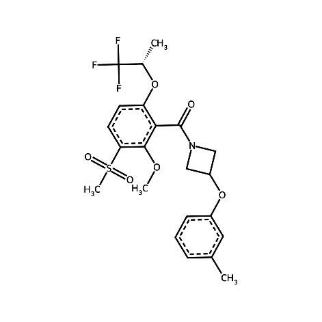 COc1c(S(C)(=O)=O)ccc(O[C@@H](C)C(F)(F)F)c1C(=O)N1CC(Oc2cccc(C)c2)C1